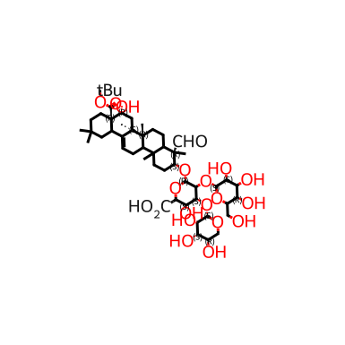 CC1(C)CC[C@@]2(C(=O)OC(C)(C)C)C(C1)C1=CCC3C4(C)CC[C@H](O[C@@H]5OC(C(=O)O)[C@@H](O)[C@H](O[C@@H]6OC[C@@H](O)[C@H](O)C6O)C5O[C@@H]5OC(CO)[C@H](O)C(O)[C@@H]5O)[C@](C)(C=O)C4CC[C@@]3(C)[C@]1(C)C[C@H]2O